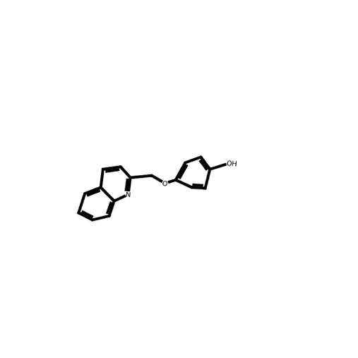 Oc1ccc(OCc2ccc3ccccc3n2)cc1